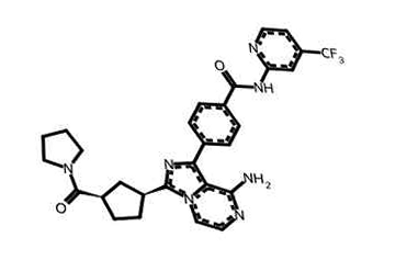 Nc1nccn2c([C@H]3CC[C@@H](C(=O)N4CCCC4)C3)nc(-c3ccc(C(=O)Nc4cc(C(F)(F)F)ccn4)cc3)c12